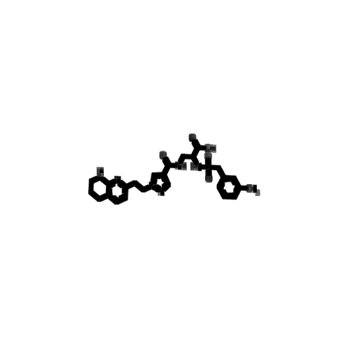 Cc1cccc(CS(=O)(=O)NC(CNC(=O)c2cnn(CCc3ccc4c(n3)NCCC4)c2)C(=O)O)c1